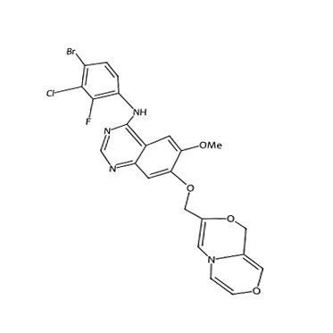 COc1cc2c(Nc3ccc(Br)c(Cl)c3F)ncnc2cc1OCC1=CN2C=COC=C2CO1